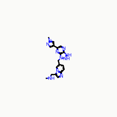 CNCc1cnc2ccc(CN3NNc4ncc(-c5cnn(C)c5)nc43)cn12